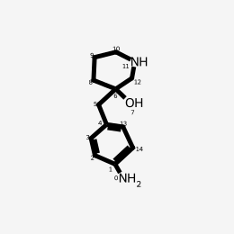 Nc1ccc(CC2(O)CCCNC2)cc1